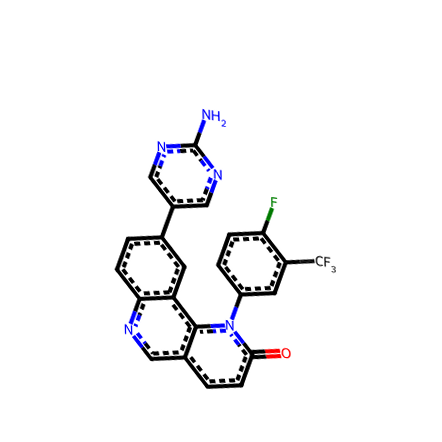 Nc1ncc(-c2ccc3ncc4ccc(=O)n(-c5ccc(F)c(C(F)(F)F)c5)c4c3c2)cn1